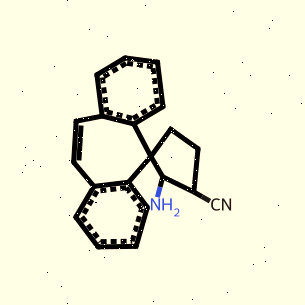 N#CC1CCC2(c3ccccc3C=Cc3ccccc32)C1N